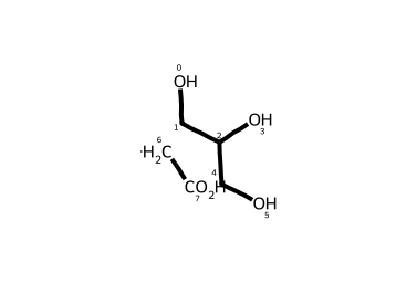 OCC(O)CO.[CH2]C(=O)O